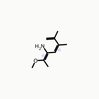 C=C(C)/C(C)=C\C(N)=C(/C)OC